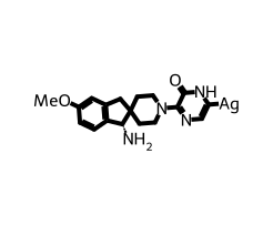 COc1ccc2c(c1)CC1(CCN(c3nc[c]([Ag])[nH]c3=O)CC1)[C@@H]2N